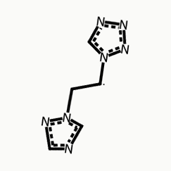 [CH](Cn1cncn1)n1cnnn1